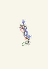 N#C[C@@]1(C2CC2)CCN(c2ccnc(NC(=O)Cc3ccc(Cl)s3)n2)C1=O